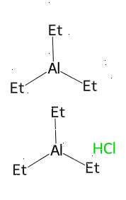 C[CH2][Al]([CH2]C)[CH2]C.C[CH2][Al]([CH2]C)[CH2]C.Cl